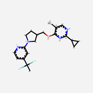 CC(F)(F)c1ccnc(N2CCC(COc3nc(C4CC4)ncc3C#N)C2)c1